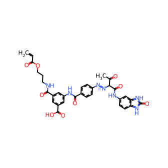 C=CC(=O)OCCCNC(=O)c1cc(NC(=O)c2ccc(/N=N/C(C(C)=O)C(=O)Nc3ccc4[nH]c(=O)[nH]c4c3)cc2)cc(C(=O)O)c1